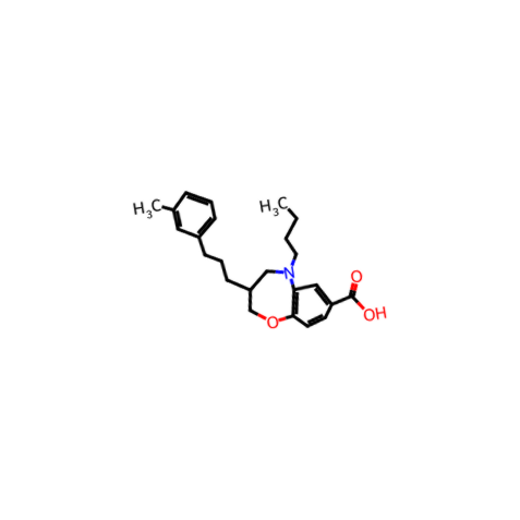 CCCCN1CC(CCCc2cccc(C)c2)COc2ccc(C(=O)O)cc21